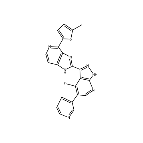 Cc1ccc(-c2nccc3[nH]c(-c4n[nH]c5ncc(-c6cccnc6)c(F)c45)nc23)s1